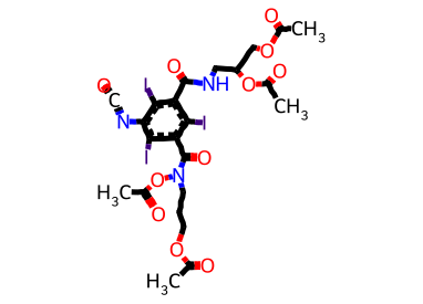 CC(=O)OCCCN(OC(C)=O)C(=O)c1c(I)c(N=C=O)c(I)c(C(=O)NCC(COC(C)=O)OC(C)=O)c1I